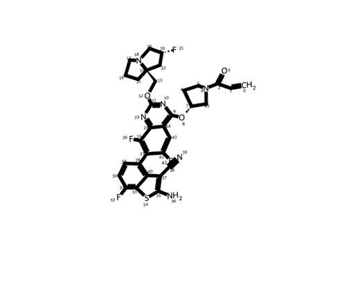 C=CC(=O)N1CC[C@@H](Oc2nc(OC[C@@]34CCCN3C[C@H](F)C4)nc3c(F)c(-c4ccc(F)c5sc(N)c(C#N)c45)c(F)cc23)C1